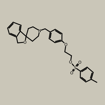 Cc1ccc(S(=O)(=O)OCCOc2ccc(CN3CCC4(CC3)OCc3ccccc34)cc2)cc1